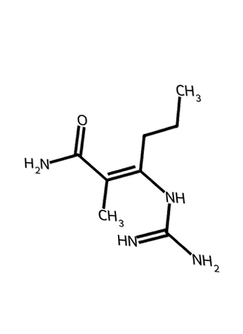 CCCC(NC(=N)N)=C(C)C(N)=O